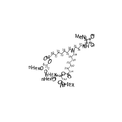 CCCCCCOCC(COCCCCCC)OC(=O)CCCCCCCN(CCCCCCCC(=O)OC(COCCCCCC)COCCCCCC)CCCNc1c(NC)c(=O)c1=O